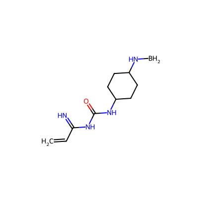 BNC1CCC(NC(=O)NC(=N)C=C)CC1